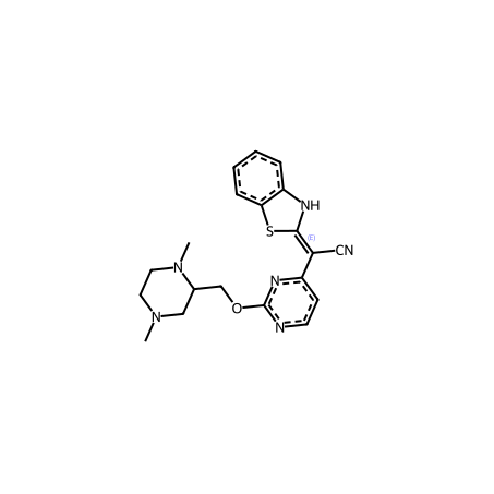 CN1CCN(C)C(COc2nccc(/C(C#N)=C3/Nc4ccccc4S3)n2)C1